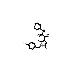 Cc1cc(C(=O)C(=O)Nc2ccncc2)c(C)n1Cc1ccc(Cl)cc1